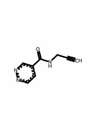 C#CCNC(=O)c1ccnnc1